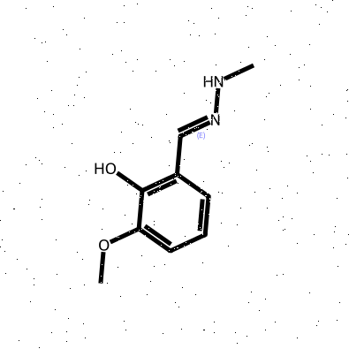 CN/N=C/c1cccc(OC)c1O